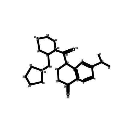 CC(C)c1ccc2c(c1)C(C(=O)N1CCSCC1CN1CCCC1)CCC2=O